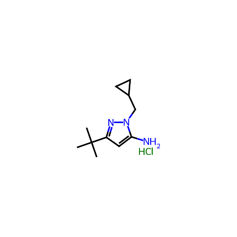 CC(C)(C)c1cc(N)n(CC2CC2)n1.Cl